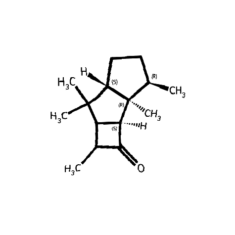 CC1C(=O)[C@H]2C1C(C)(C)[C@@H]1CC[C@@H](C)[C@@]21C